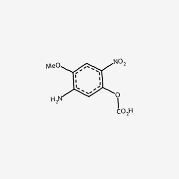 COc1cc([N+](=O)[O-])c(OC(=O)O)cc1N